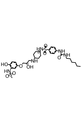 CCCCCCNC(=O)Nc1ccc(S(=O)(=O)NN2CCC(NC[C@H](O)COc3ccc(O)c(NS(C)(=O)=O)c3)CC2)cc1